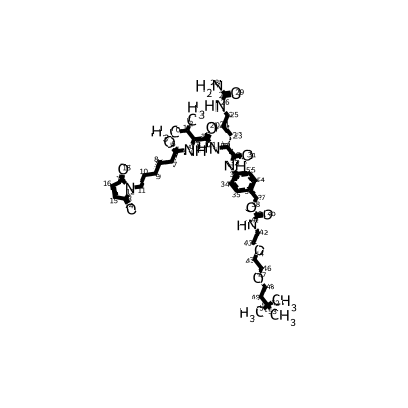 CC(C)C(NC(=O)CCCCCN1C(=O)C=CC1=O)C(=O)N[C@H](CCCNC(N)=O)C(=O)Nc1ccc(COC(=O)NCCOCCOCCC(C)(C)C)cc1